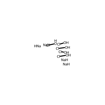 OCl.OCl.OCl.OCl.OCl.[NaH].[NaH].[NaH].[NaH]